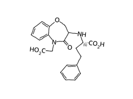 O=C(O)CN1C(=O)C(N[C@@H](CCc2ccccc2)C(=O)O)COc2ccccc21